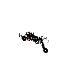 CC(C)(CCCCOCc1ccccc1)CN(CCCCO[Si](C)(C)C(C)(C)C)CC(C)(C)CCCCOCc1ccccc1